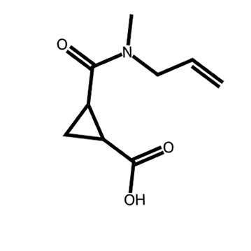 C=CCN(C)C(=O)C1CC1C(=O)O